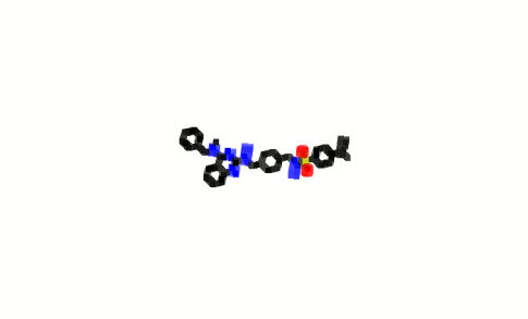 CBc1ccc(S(=O)(=O)NCC2CCC(CNc3nc(N(C)Cc4ccccc4)c4ccccc4n3)CC2)cc1